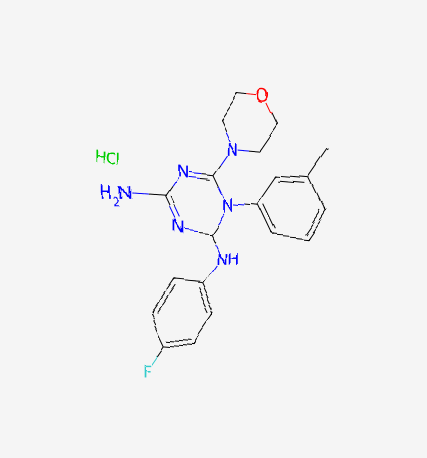 Cc1cccc(N2C(N3CCOCC3)=NC(N)=NC2Nc2ccc(F)cc2)c1.Cl